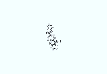 O=C(Oc1ccccc1)N1CCc2nc3ccccc3c(O)c2CC1